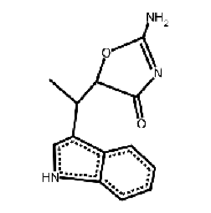 CC(c1c[nH]c2ccccc12)C1OC(N)=NC1=O